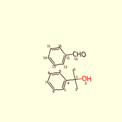 CC(C)(O)c1ccccc1.O=Cc1ccccc1